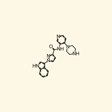 O=C(Nc1cnccc1N1CCNCC1)c1ccn(-c2c[nH]c3ccccc23)n1